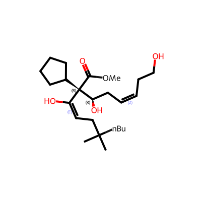 CCCCC(C)(C)C/C=C(/O)[C@@](C(=O)OC)(C1CCCC1)[C@H](O)C/C=C\CCO